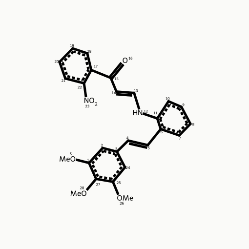 COc1cc(C=Cc2ccccc2NC=CC(=O)c2ccccc2[N+](=O)[O-])cc(OC)c1OC